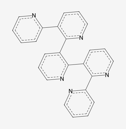 c1ccc(-c2cccnc2-c2cccnc2-c2cccnc2-c2ccccn2)nc1